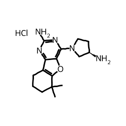 CC1(C)CCCc2c1oc1c(N3CC[C@@H](N)C3)nc(N)nc21.Cl